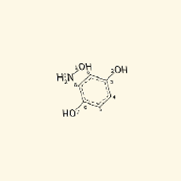 NO.Oc1ccc(O)cc1